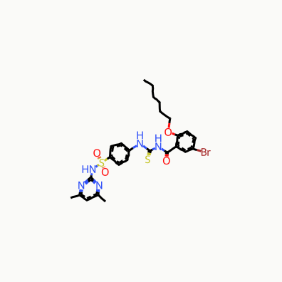 CCCCCCOc1ccc(Br)cc1C(=O)NC(=S)Nc1ccc(S(=O)(=O)Nc2nc(C)cc(C)n2)cc1